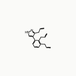 C=CCc1cccc(-c2c[nH]nc2CC=C)c1CC=C